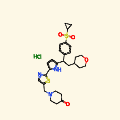 Cl.O=C1CCN(Cc2cnc(-c3ccc(C(CC4CCOCC4)c4ccc(S(=O)(=O)C5CC5)cc4)[nH]3)s2)CC1